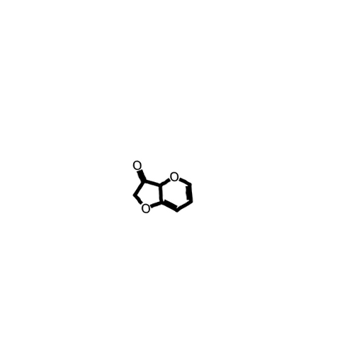 O=C1COC2=CC=COC12